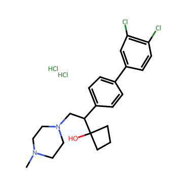 CN1CCN(CC(c2ccc(-c3ccc(Cl)c(Cl)c3)cc2)C2(O)CCC2)CC1.Cl.Cl